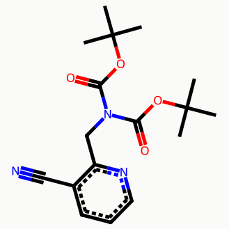 CC(C)(C)OC(=O)N(Cc1ncccc1C#N)C(=O)OC(C)(C)C